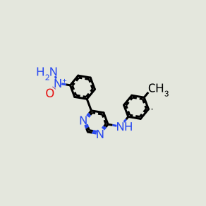 Cc1[c]cc(Nc2cc(-c3cccc([N+](N)=O)c3)ncn2)cc1